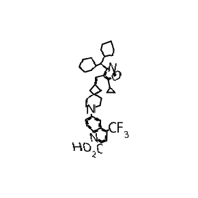 O=C(O)c1cc(C(F)(F)F)c2cc(N3CCC4(CC3)CC(=Cc3c(C(C5CCCCC5)C5CCCCC5)noc3C3CC3)C4)ccc2n1